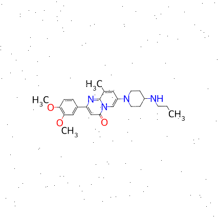 CCCNC1CCN(c2cc(C)c3nc(-c4ccc(OC)c(OC)c4)cc(=O)n3c2)CC1